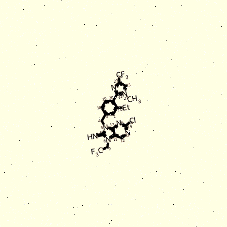 CCc1cc(Cn2c(=N)n(CC(F)(F)F)c3cnc(Cl)nc32)ccc1-c1nc(C(F)(F)F)cn1C